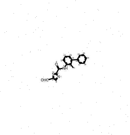 Cc1c(NC(=O)c2ncc(C=O)s2)cccc1-c1ccccc1